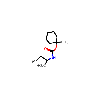 CC(C)CC(NC(=O)OC1(C)CCCCC1)C(=O)O